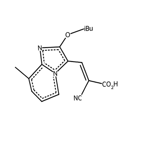 CCC(C)Oc1nc2c(C)cccn2c1/C=C(\C#N)C(=O)O